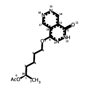 CC(=O)O[C@H](C)CCCCOc1n[nH]c(=O)c2cnncc12